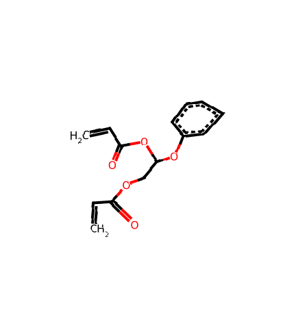 C=CC(=O)OCC(OC(=O)C=C)Oc1ccccc1